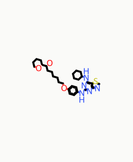 O=C(CCCCCCOc1ccc(Nc2nc(NC3CCCCC3)c3scnc3n2)cc1)C1CCCCO1